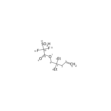 C=CCC(CC)(CC)COC(=O)C(F)(F)S(=O)(=O)O